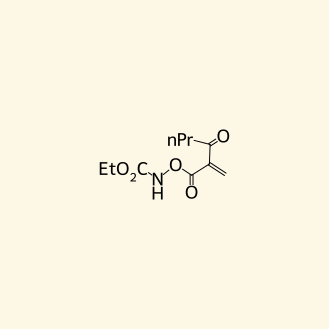 C=C(C(=O)CCC)C(=O)ONC(=O)OCC